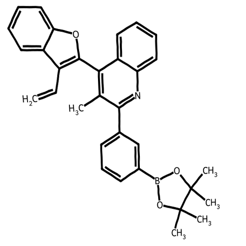 C=Cc1c(-c2c(C)c(-c3cccc(B4OC(C)(C)C(C)(C)O4)c3)nc3ccccc23)oc2ccccc12